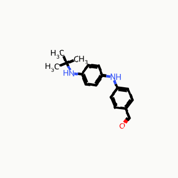 CC(C)(C)Nc1ccc(Nc2ccc(C=O)cc2)cc1